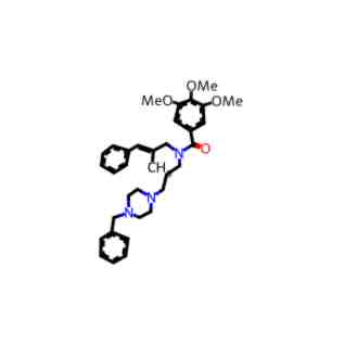 COc1cc(C(=O)N(CCCN2CCN(Cc3ccccc3)CC2)CC(C)=Cc2ccccc2)cc(OC)c1OC